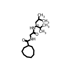 CC(C)C[C@H](NC(=O)CNC(=O)C1CCCCCCCC1)C(C)C